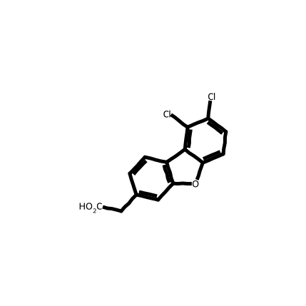 O=C(O)Cc1ccc2c(c1)oc1ccc(Cl)c(Cl)c12